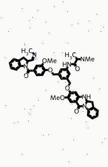 C/N=C\C1Cc2ccccc2N1C(=O)c1ccc(OCc2cc(COc3cc4c(cc3OC)C(=O)N3c5ccccc5CC3N4)cc(NC(=O)C(C)NC)c2)c(OC)c1